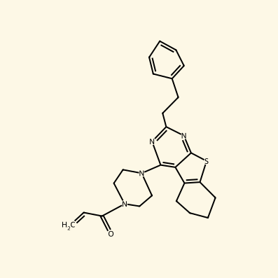 C=CC(=O)N1CCN(c2nc(CCc3ccccc3)nc3sc4c(c23)CCCC4)CC1